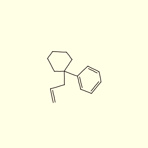 C=CCC1(c2ccccc2)CCCCC1